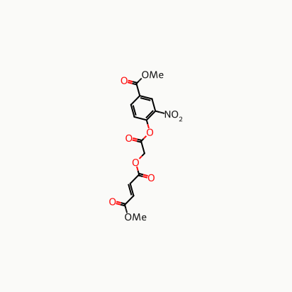 COC(=O)C=CC(=O)OCC(=O)Oc1ccc(C(=O)OC)cc1[N+](=O)[O-]